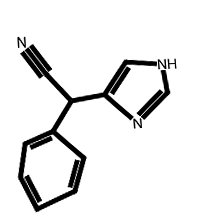 N#CC(c1ccccc1)c1c[nH]cn1